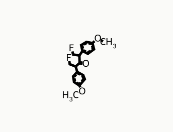 COc1ccc(C(CF)C(=O)C(CF)c2ccc(OC)cc2)cc1